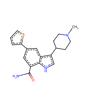 CN1CCC(c2c[nH]c3c(C(N)=O)cc(-c4cccs4)cc23)CC1